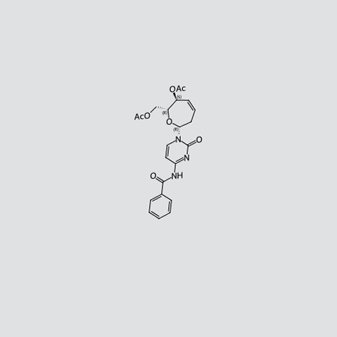 CC(=O)OC[C@H]1O[C@@H](n2ccc(NC(=O)c3ccccc3)nc2=O)CC=C[C@@H]1OC(C)=O